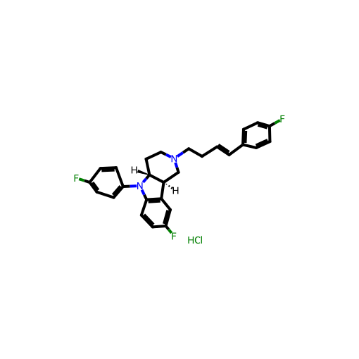 Cl.Fc1ccc(C=CCCN2CC[C@@H]3[C@@H](C2)c2cc(F)ccc2N3c2ccc(F)cc2)cc1